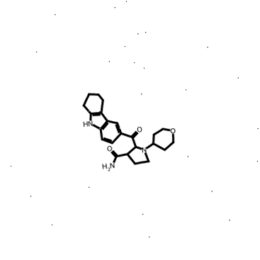 NC(=O)C1CCN(C2CCOCC2)C1C(=O)c1ccc2[nH]c3c(c2c1)CCCC3